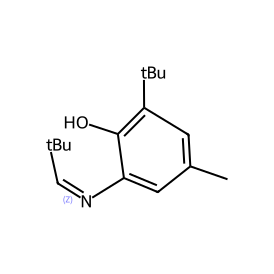 Cc1cc(/N=C\C(C)(C)C)c(O)c(C(C)(C)C)c1